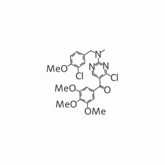 COc1ccc(CN(C)c2ncc(C(=O)c3cc(OC)c(OC)c(OC)c3)c(Cl)n2)cc1Cl